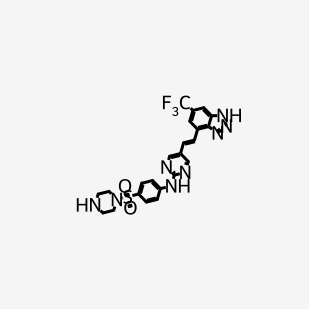 O=S(=O)(c1ccc(Nc2ncc(C=Cc3cc(C(F)(F)F)cc4[nH]nnc34)cn2)cc1)N1CCNCC1